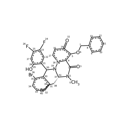 CN1C(=O)c2c(OCc3ccccc3)c(=O)ccn2N(C(c2cc(F)c(F)cc2O)c2ccccc2Br)[C@H]1CCBr